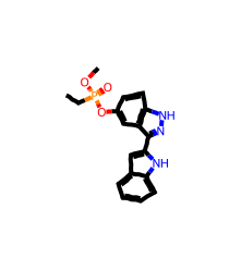 CCP(=O)(OC)Oc1ccc2[nH]nc(-c3cc4ccccc4[nH]3)c2c1